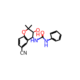 CC1(C)Oc2ccc(C#N)cc2[C@H](NC(=O)Nc2ccccc2)[C@@H]1O